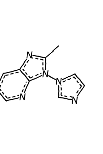 Cc1nc2cccnc2n1-n1ccnc1